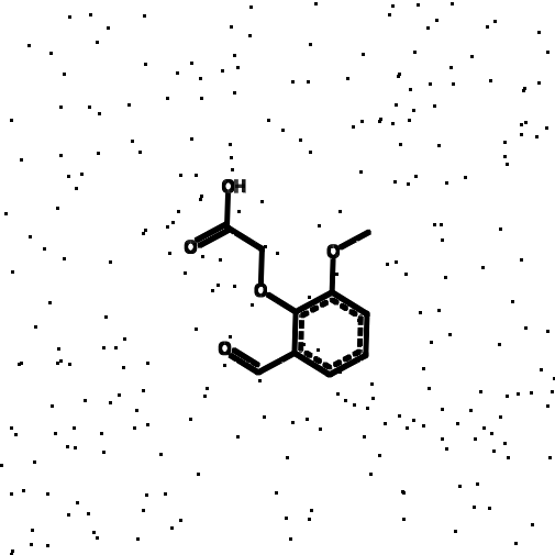 COc1cccc(C=O)c1OCC(=O)O